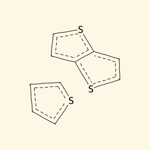 c1cc2sccc2s1.c1ccsc1